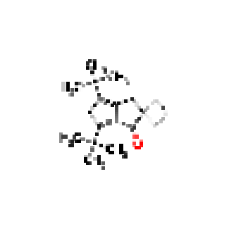 CC(C)(C)C1=C2CC3(CCC3)C(=O)C2=C(C(C)(C)C)C1